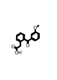 COc1cccc(C(=O)c2ccccc2CC(=O)O)c1